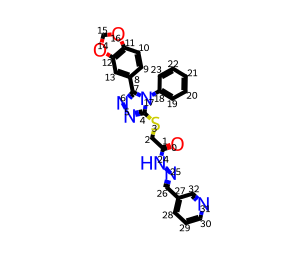 O=C(CSc1nnc(-c2ccc3c(c2)OCO3)n1-c1ccccc1)N/N=C/c1cccnc1